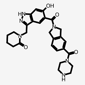 O=C1CCCCN1Cc1n[nH]c2cc(O)c(C(=O)N3Cc4ccc(C(=O)N5CCNCC5)cc4C3)cc12